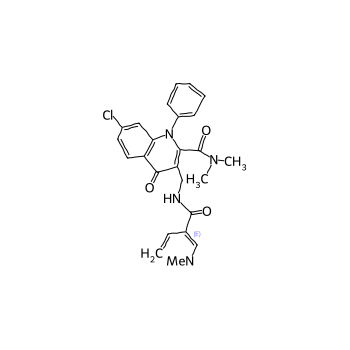 C=C/C(=C\NC)C(=O)NCc1c(C(=O)N(C)C)n(-c2ccccc2)c2cc(Cl)ccc2c1=O